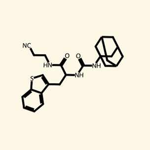 N#CCCNC(=O)C(Cc1csc2ccccc12)NC(=O)NC12CC3CC(CC(C3)C1)C2